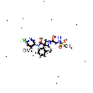 COc1cc(Cl)ncc1NC(=O)C1(c2ccccc2C(C)C)CN(C(=O)CNS(C)(=O)=O)C1